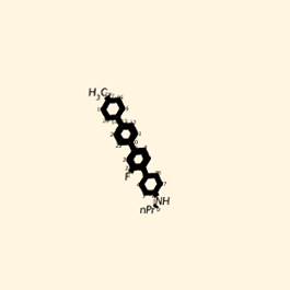 CCCNC1CCC(c2ccc(-c3ccc(C4CCC(C)CC4)cc3)cc2F)CC1